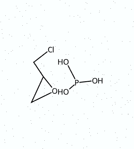 ClCC1CO1.OP(O)O